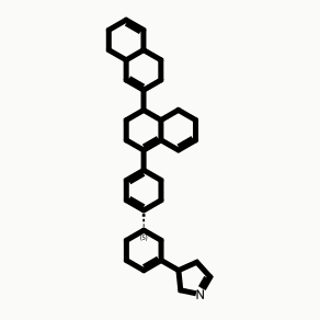 C1=CC2CCC(C3CCC(C4=CC=C([C@H]5CCC=C(C6CC=NC6)C5)CC4)=C4C=CCCC43)=CC2CC1